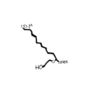 CCCCCCC(CCCCCCCCCCC(=O)O)OCCO